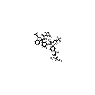 CC(C)C(=O)NC(CCC1CC1)(c1cccnc1)c1ccc(F)c(NC(=O)c2cc(C(F)(F)F)nn2-c2cccc(NC(=O)OC(C)(C)C)c2)c1